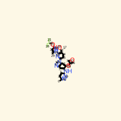 Cc1ccc(Nc2cc3ncn(-c4ccc([C@@H](C)O)c(-n5nc(OC(F)F)cc5C)n4)c3cc2OC2COC2)nn1